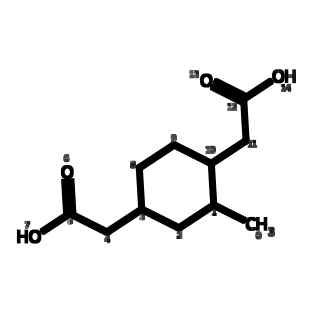 CC1CC(CC(=O)O)CCC1CC(=O)O